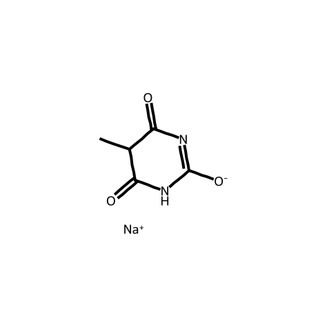 CC1C(=O)N=C([O-])NC1=O.[Na+]